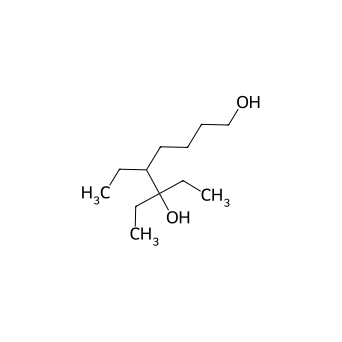 CCC(CCCCO)C(O)(CC)CC